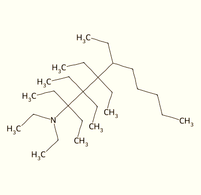 CCCCCC(CC)C(CC)(CC)C(CC)(CC)C(CC)(CC)N(CC)CC